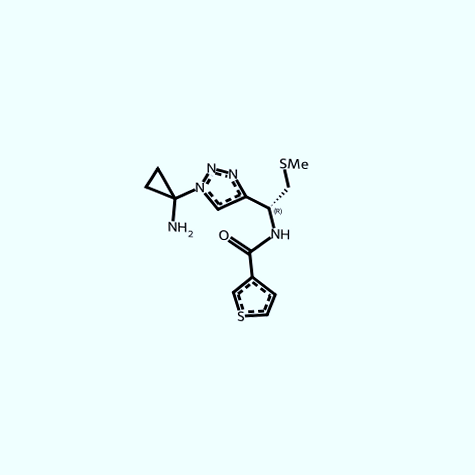 CSC[C@H](NC(=O)c1ccsc1)c1cn(C2(N)CC2)nn1